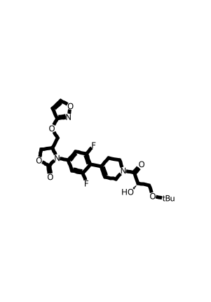 CC(C)(C)OC[C@H](O)C(=O)N1CC=C(c2c(F)cc(N3C(=O)OCC3COc3ccon3)cc2F)CC1